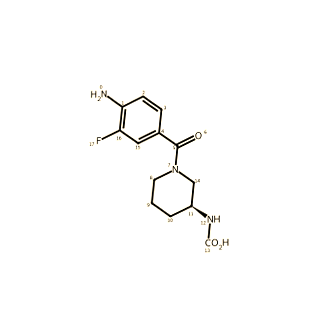 Nc1ccc(C(=O)N2CCC[C@H](NC(=O)O)C2)cc1F